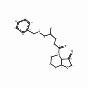 CC(CCC(=O)N1CCCC2OCC(=O)C21)COCc1ccccc1